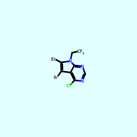 CCc1c(Br)c2c(Cl)ncnc2n1CC(F)(F)F